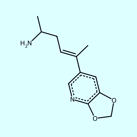 CC(=CCC(C)N)c1cnc2c(c1)OCO2